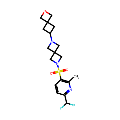 Cc1nc(C(F)F)ccc1S(=O)(=O)N1CC2(CN(C3CC4(COC4)C3)C2)C1